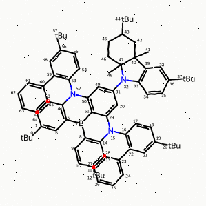 CC(C)(C)c1ccc2c(c1)B1c3ccc(C(C)(C)C)cc3N(c3ccc(C(C)(C)C)cc3-c3ccccc3)c3cc(N4c5ccc(C(C)(C)C)cc5C5(C)CC(C(C)(C)C)CCC45C)cc(c31)N2c1ccc(C(C)(C)C)cc1-c1ccccc1